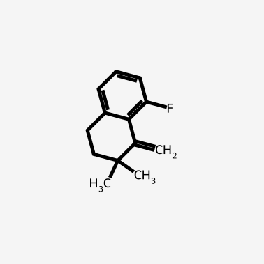 C=C1c2c(F)cccc2CCC1(C)C